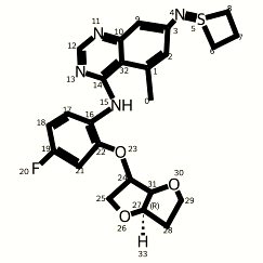 Cc1cc(N=S2CCC2)cc2ncnc(Nc3ccc(F)cc3OC3CO[C@@H]4CCOC34)c12